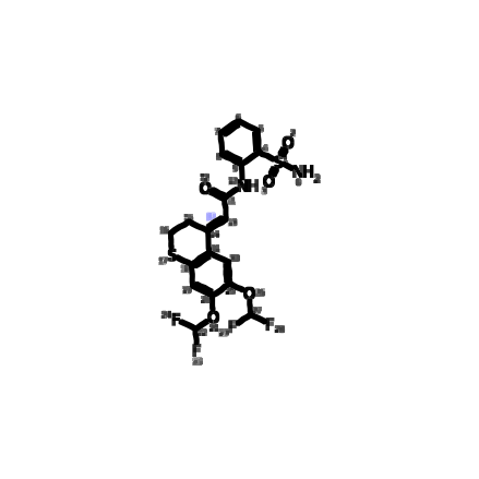 NS(=O)(=O)c1ccccc1NC(=O)/C=C1\CCSc2cc(OC(F)F)c(OC(F)F)cc21